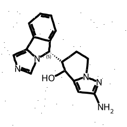 Nc1cc2n(n1)CCC([C@H]1c3ccccc3-c3cncn31)C2O